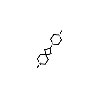 CN1CCN(C2CC3(CCN(C)CC3)C2)CC1